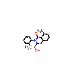 Cc1ccccc1-n1c(CO)cc2cccc(C)c2c1=O